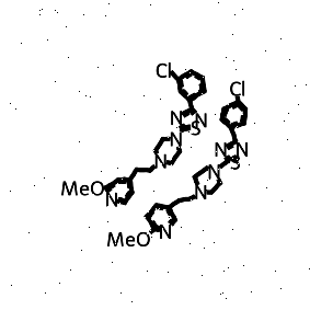 COc1cc(CCN2CCN(c3nc(-c4cccc(Cl)c4)ns3)CC2)ccn1.COc1ccc(CCN2CCN(c3nc(-c4ccc(Cl)cc4)ns3)CC2)cn1